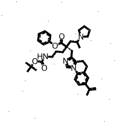 C=C(C)c1ccc2c(c1)CCc1c(C[C@](CCCNC(=O)OC(C)(C)C)(CC(C)N3CCCC3)C(=O)Oc3ccccc3)ncn1-2